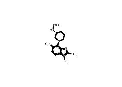 Cc1nc2c(N3CCC[C@@H](NC(=O)O)C3)c([N+](=O)[O-])ccc2n1C